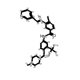 Cc1ccc(C(=O)Nc2ccc(CN3CCN(C)CC3)c(C(F)(F)F)c2)cc1NCc1cccnc1